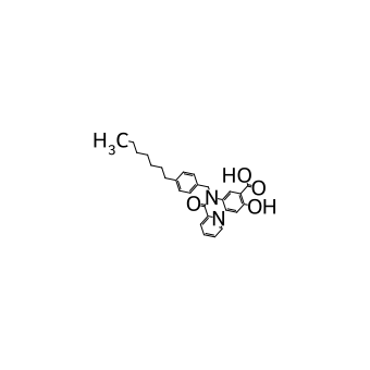 CCCCCCCc1ccc(CN(C(=O)c2ccccn2)c2ccc(O)c(C(=O)O)c2)cc1